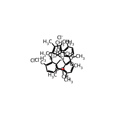 COc1ccc(C)c(OC)c1[Si](c1c(OC)ccc(C)c1OC)(c1c(OC)ccc(C)c1OC)[C]1([Ti+3])C(C)=C(C)C(C)=C1C.[Cl-].[Cl-].[Cl-]